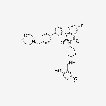 COc1ccc(O)c(CNC2CCC(n3c(=O)c4cc(F)cnc4n(-c4cccc(-c5ccc(CN6CCCOCC6)cc5)c4)c3=O)CC2)c1